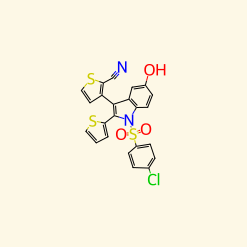 N#Cc1sccc1-c1c(-c2cccs2)n(S(=O)(=O)c2ccc(Cl)cc2)c2ccc(O)cc12